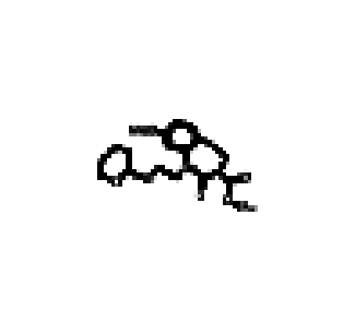 COc1ccc2c(c1)N(CCOC1CCCCO1)C(=O)C(C(=O)OC(C)(C)C)CC2